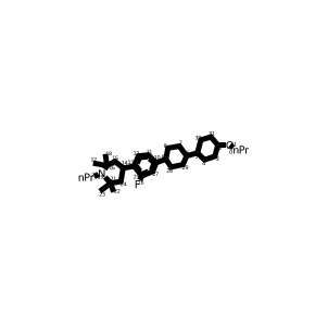 CCCOC1CCC(C2CCC(c3ccc(C4CC(C)(C)N(CCC)C(C)(C)C4)c(F)c3)CC2)CC1